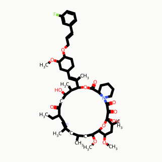 CCC1/C=C(\C)CC(C)CC(OC)C2OC(O)(C(=O)C(=O)N3CCCCC3C(=O)OC(C(C)=CC3CCC(OCC=Cc4cccc(F)c4)C(OC)C3)C(C)C(O)CC1=O)C(C)CC2OC